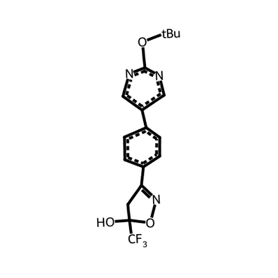 CC(C)(C)Oc1ncc(-c2ccc(C3=NOC(O)(C(F)(F)F)C3)cc2)cn1